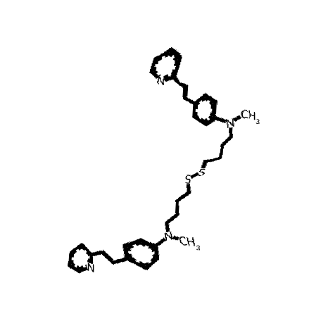 CN(CCCCSSCCCCN(C)c1ccc(/C=C/c2ccccn2)cc1)c1ccc(/C=C/c2ccccn2)cc1